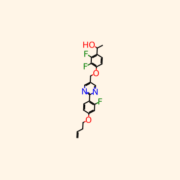 C=CCCOc1ccc(-c2ncc(COc3ccc(C(C)O)c(F)c3F)cn2)c(F)c1